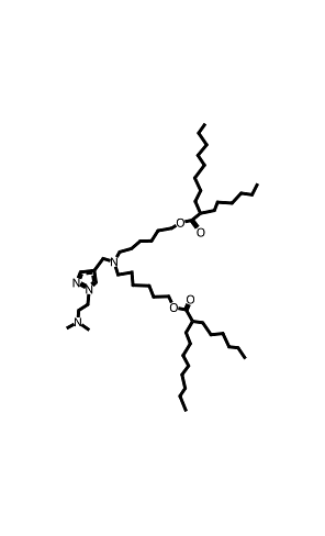 CCCCCCCCC(CCCCCC)C(=O)OCCCCCCN(CCCCCCOC(=O)C(CCCCCC)CCCCCCCC)Cc1cnn(CCN(C)C)c1